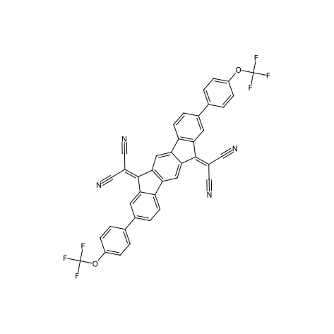 N#CC(C#N)=C1c2cc(-c3ccc(OC(F)(F)F)cc3)ccc2-c2cc3c(cc21)-c1ccc(-c2ccc(OC(F)(F)F)cc2)cc1C3=C(C#N)C#N